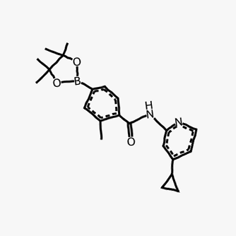 Cc1cc(B2OC(C)(C)C(C)(C)O2)ccc1C(=O)Nc1cc(C2CC2)ccn1